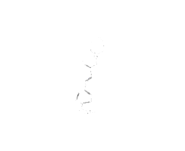 COc1ccc(/C=C/C(=O)CN2CCOCC2)cc1